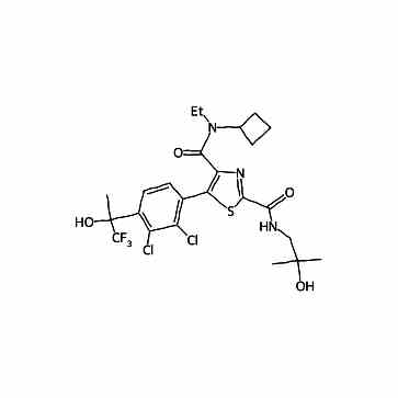 CCN(C(=O)c1nc(C(=O)NCC(C)(C)O)sc1-c1ccc(C(C)(O)C(F)(F)F)c(Cl)c1Cl)C1CCC1